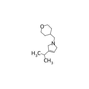 CC(C)C1=CCN(CC2CCOCC2)C1